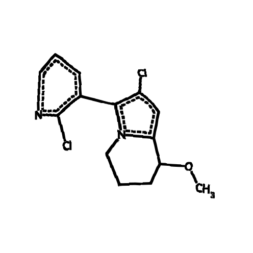 COC1CCCn2c1cc(Cl)c2-c1cccnc1Cl